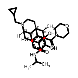 CC(C)NC(=O)C1=C(C(=O)N2CCOCC2)[C@H](C)[C@]23CCN(CC4CC4)[C@H](Cc4ccc(O)c(O)c42)[C@]3(O)C1